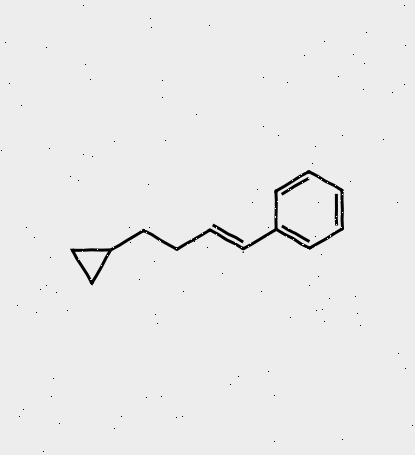 [C](=C\CCC1CC1)/c1ccccc1